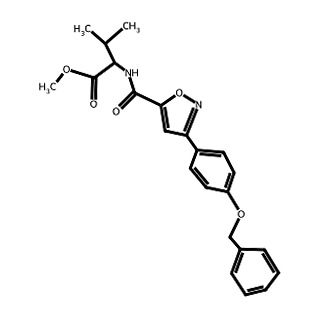 COC(=O)C(NC(=O)c1cc(-c2ccc(OCc3ccccc3)cc2)no1)C(C)C